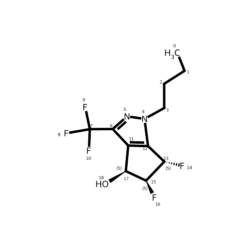 CCCCn1nc(C(F)(F)F)c2c1[C@H](F)[C@@H](F)[C@H]2O